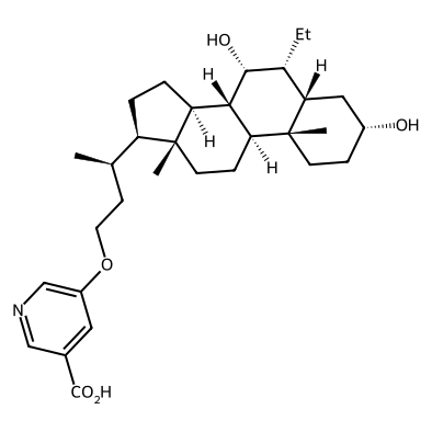 CC[C@H]1[C@@H](O)[C@@H]2[C@H](CC[C@]3(C)[C@@H]([C@H](C)CCOc4cncc(C(=O)O)c4)CC[C@@H]23)[C@@]2(C)CC[C@@H](O)C[C@@H]12